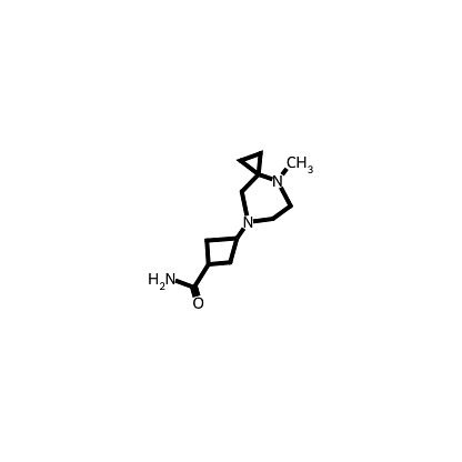 CN1CCN(C2CC(C(N)=O)C2)CC12CC2